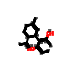 C=C(C)[C@@H]1CCC(C)=C[C@H]1C(/C(O)=C\C)=C(/C)O